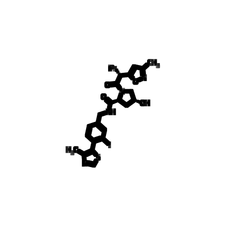 Cc1cc([C@H](C(=O)N2C[C@H](O)C[C@H]2C(=O)NCc2ccc(-c3scnc3C)c(I)c2)C(C)C)on1